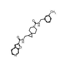 Cc1cccc(CNC(=O)N2CCC3(CC2)CC3CNC(=O)c2cc3ccncc3o2)c1